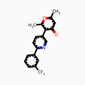 Cc1cc(=O)c(-c2ccc(-c3cccc(C(F)(F)F)c3)nc2)c(C)o1